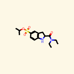 CCN(CC)C(=O)C1Cc2cc(S(=O)(=O)OC(C)C)ccc2N1